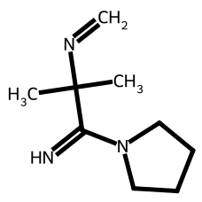 C=NC(C)(C)C(=N)N1CCCC1